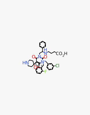 O=C(O)CCCNC(CN1C(=O)C2=C(COC23CCNCC3)[N@+](Cc2cccc(Cl)c2)(Cc2c(F)cccc2C(F)(F)F)C1=O)c1ccccc1